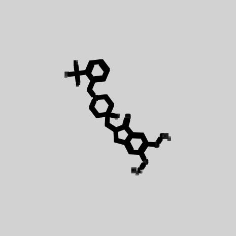 COc1cc2c(cc1OC)C(=O)C(CC1(F)CCN(Cc3ccccc3C(F)(F)F)CC1)C2